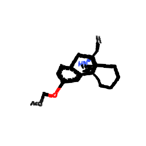 CC(=O)OCOc1ccc2c(c1)[C@@]13CCCC[C@H]1[C@@H](C2)NCC3